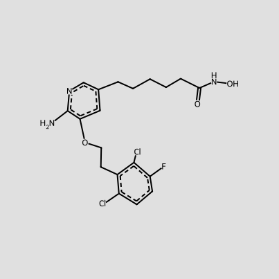 Nc1ncc(CCCCCC(=O)NO)cc1OCCc1c(Cl)ccc(F)c1Cl